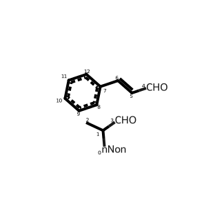 CCCCCCCCCC(C)C=O.O=CC=Cc1ccccc1